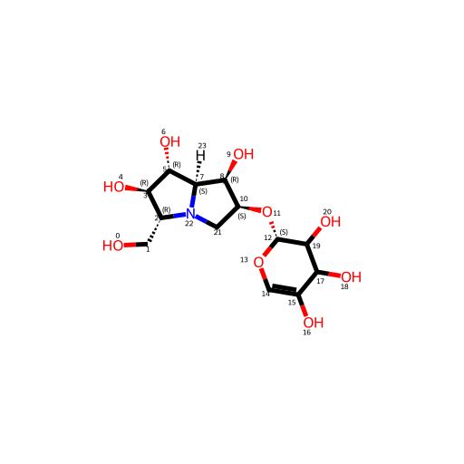 OC[C@@H]1[C@@H](O)[C@H](O)[C@H]2[C@@H](O)[C@@H](O[C@H]3OC=C(O)C(O)C3O)CN21